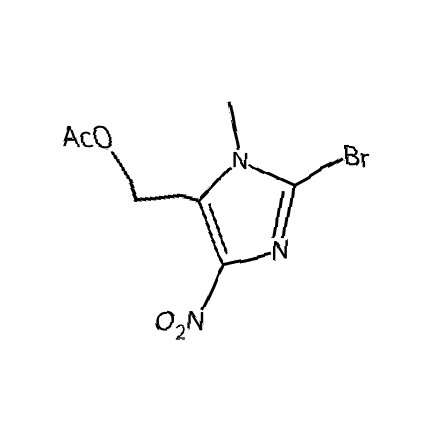 CC(=O)OCc1c([N+](=O)[O-])nc(Br)n1C